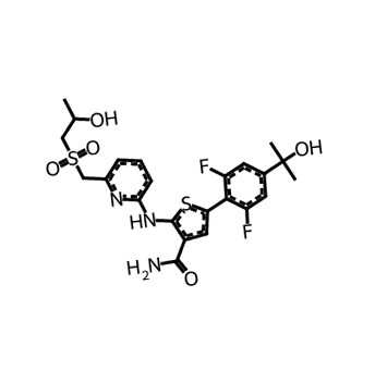 CC(O)CS(=O)(=O)Cc1cccc(Nc2sc(-c3c(F)cc(C(C)(C)O)cc3F)cc2C(N)=O)n1